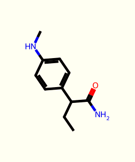 CCC(C(N)=O)c1ccc(NC)cc1